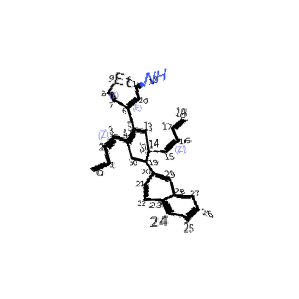 C=C/C=C\C1=C(C(/C=C\CC)=C/C=N)C[C@@H](/C=C\C=C)C(c2ccc3ccccc3c2)C1